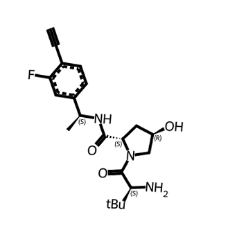 C#Cc1ccc([C@H](C)NC(=O)[C@@H]2C[C@@H](O)CN2C(=O)[C@@H](N)C(C)(C)C)cc1F